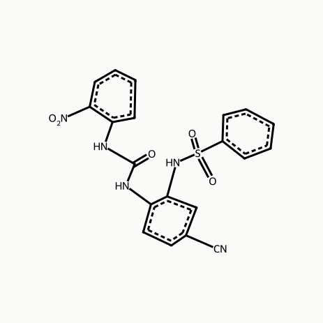 N#Cc1ccc(NC(=O)Nc2ccccc2[N+](=O)[O-])c(NS(=O)(=O)c2ccccc2)c1